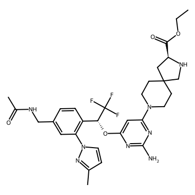 CCOC(=O)[C@@H]1CC2(CCN(c3cc(O[C@H](c4ccc(CNC(C)=O)cc4-n4ccc(C)n4)C(F)(F)F)nc(N)n3)CC2)CN1